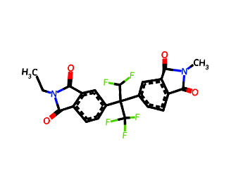 CCN1C(=O)c2ccc(C(c3ccc4c(c3)C(=O)N(C)C4=O)(C(F)F)C(F)(F)F)cc2C1=O